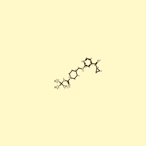 CC(C)(C)OC(=O)N1CCC(COc2cc(C(=O)C3CC3)ccn2)CC1